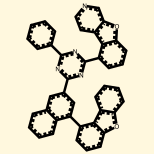 c1ccc(-c2nc(-c3cc(-c4cccc5oc6ccccc6c45)c4ccccc4c3)nc(-c3cccc4oc5cnccc5c34)n2)cc1